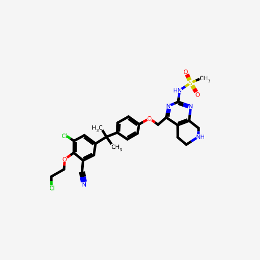 CC(C)(c1ccc(OCc2nc(NS(C)(=O)=O)nc3c2CCNC3)cc1)c1cc(Cl)c(OCCCl)c(C#N)c1